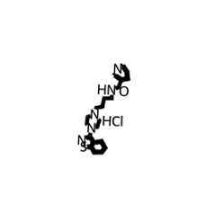 Cl.O=C(NCCCCN1CCN(c2nsc3ccccc23)CC1)c1cccnc1